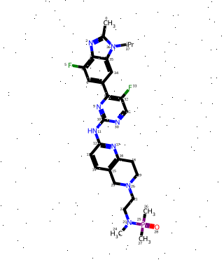 Cc1nc2c(F)cc(-c3nc(Nc4ccc5c(n4)CCN(CCN(C)P(C)(C)=O)C5)ncc3F)cc2n1C(C)C